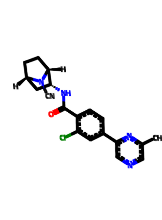 Cc1cncc(-c2ccc(C(=O)N[C@@H]3C[C@@H]4CC[C@H]3N4C#N)c(Cl)c2)n1